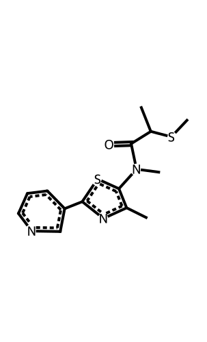 CSC(C)C(=O)N(C)c1sc(-c2cccnc2)nc1C